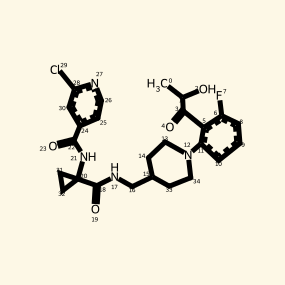 CC(O)C(=O)c1c(F)cccc1N1CCC(CNC(=O)C2(NC(=O)c3ccnc(Cl)c3)CC2)CC1